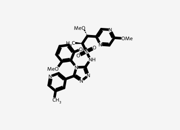 COc1cnc([C@@H](OC)[C@H](C)S(=O)(=O)Nc2nnc(-c3cncc(C)c3)n2-c2c(OC)cccc2OC)cn1